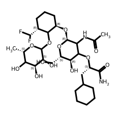 CC(=O)NC1C(O[C@@H](CC2CCCCC2)C(N)=O)[C@@H](O)[C@H](CO)O[C@H]1O[C@@H]1CCC[C@@H](C(F)F)C1OC1O[C@@H](C)C(O)[C@H](O)[C@@H]1O